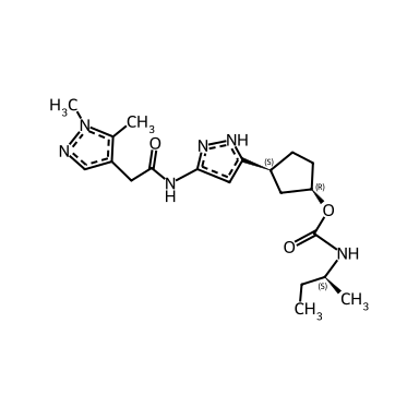 CC[C@H](C)NC(=O)O[C@@H]1CC[C@H](c2cc(NC(=O)Cc3cnn(C)c3C)n[nH]2)C1